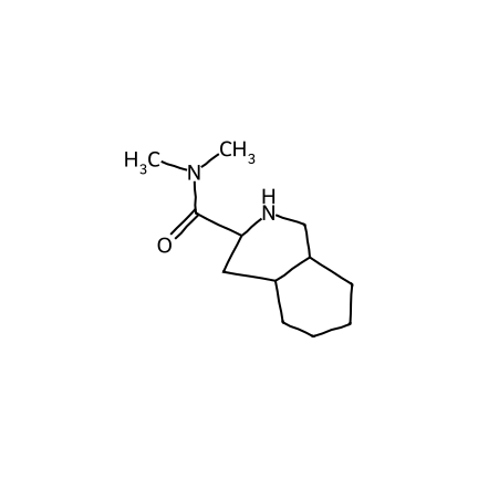 CN(C)C(=O)C1CC2CCCCC2CN1